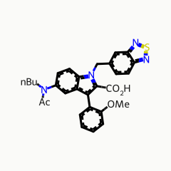 CCCCN(C(C)=O)c1ccc2c(c1)c(-c1ccccc1OC)c(C(=O)O)n2Cc1ccc2nsnc2c1